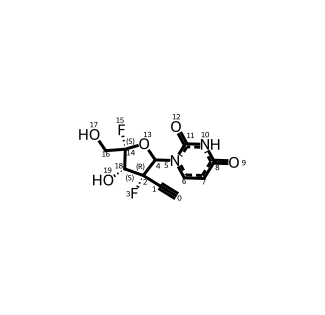 C#C[C@]1(F)C(n2ccc(=O)[nH]c2=O)O[C@](F)(CO)[C@H]1O